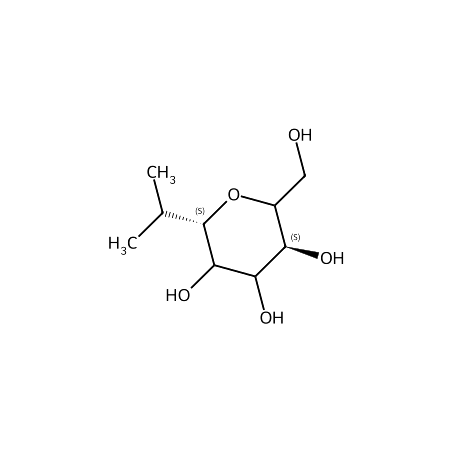 CC(C)[C@@H]1OC(CO)[C@@H](O)C(O)C1O